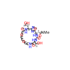 CNC(=O)C[C@@H]1NC(=O)N[C@@H](C(C)O)C(=O)NCCOCCOCC(=O)N[C@@H](CCO)c2noc1n2